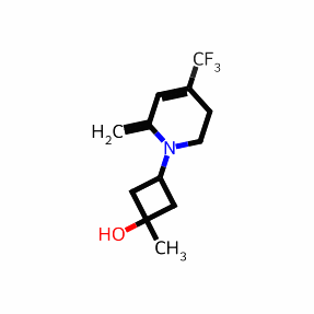 C=C1C=C(C(F)(F)F)CCN1C1CC(C)(O)C1